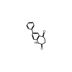 O=C1CCC(=O)c2cc(-c3ccccc3)ccc2N1